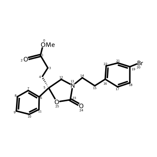 COC(=O)CC[C@]1(c2ccccc2)CN(CCc2ccc(Br)cc2)C(=O)O1